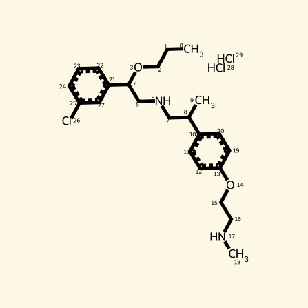 CCCOC(CNCC(C)c1ccc(OCCNC)cc1)c1cccc(Cl)c1.Cl.Cl